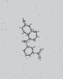 O=[N+]([O-])c1cccc(Nc2ccnc3cc(Br)ccc23)c1